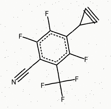 N#Cc1c(F)c(F)c(C2C#C2)c(F)c1C(F)(F)F